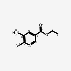 CCOC(=O)c1cnc(Br)c(N)c1